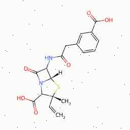 C=C[C@@]1(C)S[C@H]2C(NC(=O)Cc3cccc(C(=O)O)c3)C(=O)N2C1C(=O)O